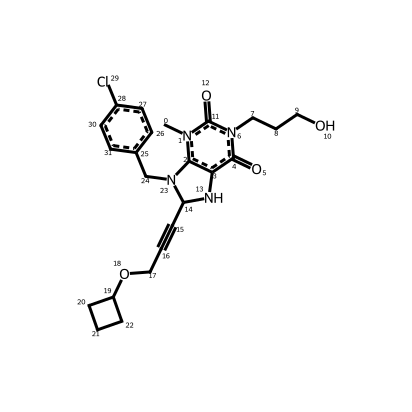 Cn1c2c(c(=O)n(CCCO)c1=O)NC(C#CCOC1CCC1)N2Cc1ccc(Cl)cc1